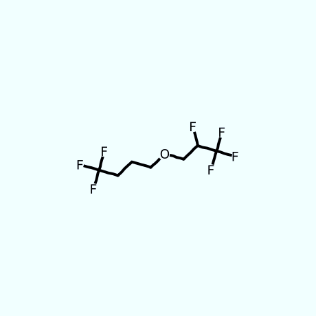 FC(COCCCC(F)(F)F)C(F)(F)F